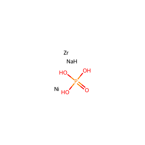 O=P(O)(O)O.[NaH].[Ni].[Zr]